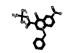 CC(C)(C)OC(=O)c1cn(Cc2ccccc2)c2ccc([N+](=O)[O-])cc2c1=O